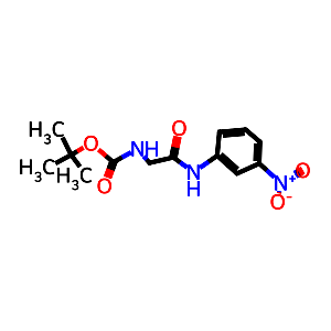 CC(C)(C)OC(=O)NCC(=O)Nc1cccc([N+](=O)[O-])c1